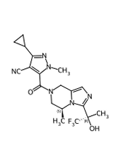 C[C@H]1CN(C(=O)c2c(C#N)c(C3CC3)nn2C)Cc2cnc([C@@](C)(O)C(F)(F)F)n21